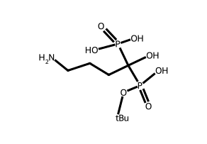 CC(C)(C)OP(=O)(O)C(O)(CCCN)P(=O)(O)O